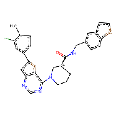 Cc1ccc(-c2cc3ncnc(N4CCC[C@H](C(=O)NCc5ccc6sccc6c5)C4)c3s2)cc1F